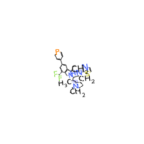 C=CN1CCC/C1=C(/C)C(C(=C)Nc1nccs1)N1Cc2c(cc(-c3ccpcc3)cc2C(F)F)C1=C